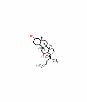 CCOC(=O)CC[C@@H](C)[C@H]1CC[C@H]2[C@@H]3CC[C@@H]4C[C@H](O)CC[C@]4(C)[C@H]3C[C@H](O)[C@]12C